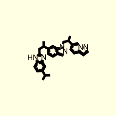 CC(C)c1ccc2[nH]c(CC(C)c3ccc4cnn(CC(C)c5ccc6ccnn6c5)c4c3)nc2c1